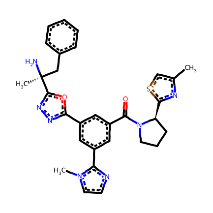 Cc1csc([C@H]2CCCN2C(=O)c2cc(-c3nnc([C@@](C)(N)Cc4ccccc4)o3)cc(-c3nccn3C)c2)n1